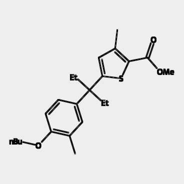 CCCCOc1ccc(C(CC)(CC)c2cc(C)c(C(=O)OC)s2)cc1C